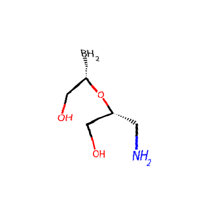 B[C@@H](CO)O[C@H](CN)CO